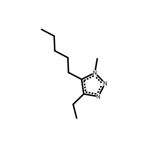 CCCCCc1c(CC)nnn1C